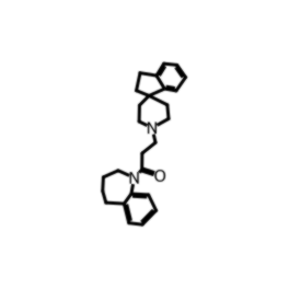 O=C(CCN1CCC2(CCc3ccccc32)CC1)N1CCCCc2ccccc21